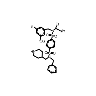 CCCC(CC)N(Cc1cc(Br)cc(C(C)(C)C)c1)S(=O)(=O)c1ccc(S(=O)(=O)N(Cc2ccccc2)CC2CCNCC2)cc1